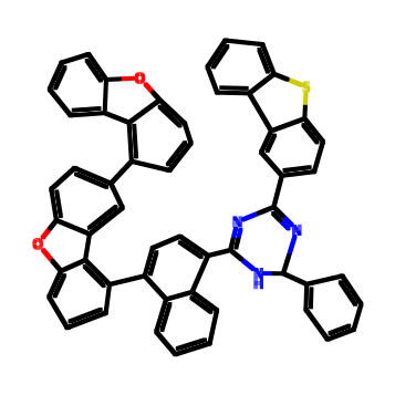 c1ccc(C2N=C(c3ccc4sc5ccccc5c4c3)N=C(c3ccc(-c4cccc5oc6ccc(-c7cccc8oc9ccccc9c78)cc6c45)c4ccccc34)N2)cc1